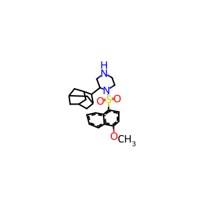 COc1ccc(S(=O)(=O)N2CCNCC2C2C3CC4CC(C3)CC2C4)c2ccccc12